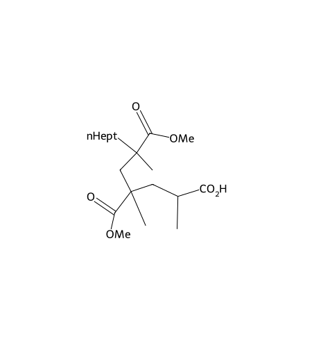 CCCCCCCC(C)(CC(C)(CC(C)C(=O)O)C(=O)OC)C(=O)OC